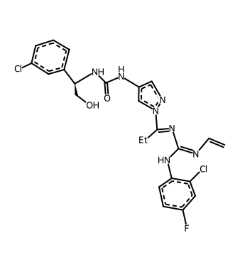 C=C/N=C(\N=C(/CC)n1cc(NC(=O)N[C@@H](CO)c2cccc(Cl)c2)cn1)Nc1ccc(F)cc1Cl